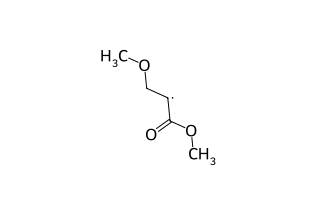 COC[CH]C(=O)OC